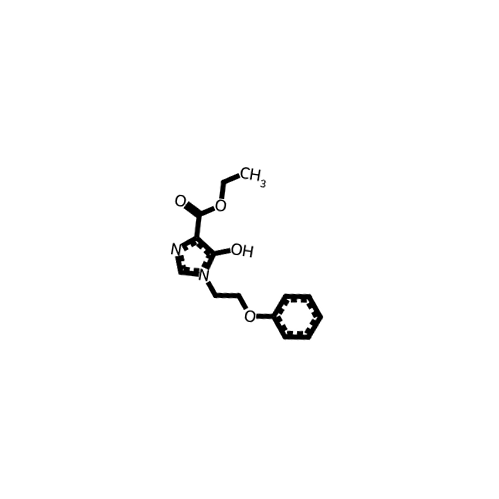 CCOC(=O)c1ncn(CCOc2ccccc2)c1O